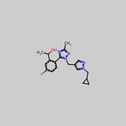 Cc1nc(-c2ccc(F)cc2C(C)O)n(Cc2cnn(CC3CC3)c2)n1